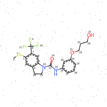 CSc1cc2c(cc1C(F)(F)F)N(C(=O)Nc1cccc(OCCCO)c1)CC2